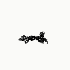 CCCC(C=O)NC(=O)c1ccc(NCC2CNc3nc(N)[nH]c(=O)c3N2)cc1